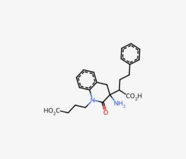 NC1(C(CCc2ccccc2)C(=O)O)Cc2ccccc2N(CCCC(=O)O)C1=O